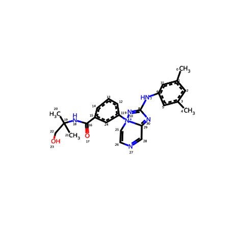 Cc1cc(C)cc(NC2=N[N+]3(c4cccc(C(=O)NC(C)(C)CO)c4)C=CN=CC3=N2)c1